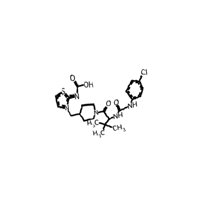 CC(C)(C)C(NC(=O)Nc1ccc(Cl)cc1)C(=O)N1CCC(Cn2ccsc2=NC(=O)O)CC1